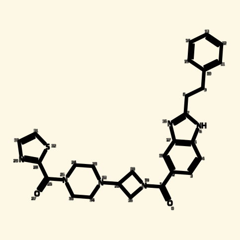 O=C(c1ccc2[nH]c(CCc3ccccc3)nc2c1)N1CC(N2CCN(C(=O)c3nccs3)CC2)C1